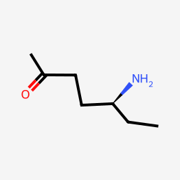 CC[C@H](N)CCC(C)=O